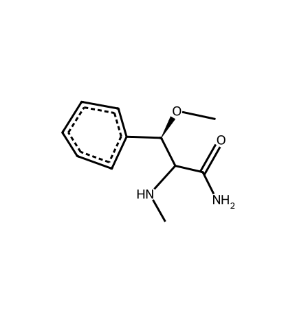 CNC(C(N)=O)[C@H](OC)c1ccccc1